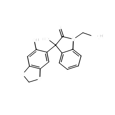 O=C(O)CN1C(=O)C(O)(c2cc3c(cc2O)OCO3)c2ccccc21